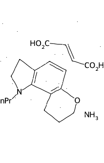 CCCN1CCc2ccc3c(c21)CCCO3.N.O=C(O)C=CC(=O)O